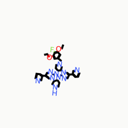 CCOc1cc(CN2CCC(N(c3ncc(-c4cccnc4)cn3)N(c3ncc(-c4cccnc4)cn3)C3CCNCC3)CC2)cc(OCC)c1F